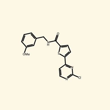 COc1cccc(CNC(=O)c2ccc(-c3ccnc(Cl)n3)s2)c1